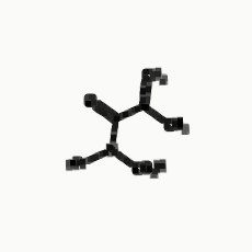 C=C(C)C(=O)N(CCC)C(=O)O